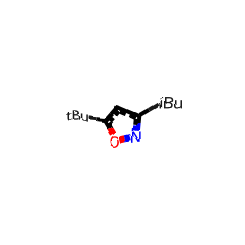 CCC(C)c1cc(C(C)(C)C)on1